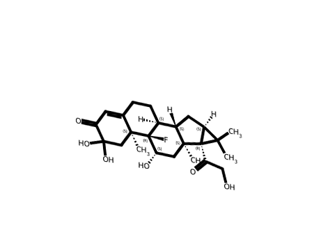 CC1(C)[C@@H]2C[C@H]3[C@@H]4CCC5=CC(=O)C(O)(O)C[C@]5(C)[C@@]4(F)[C@@H](O)C[C@]3(C)[C@@]21C(=O)CO